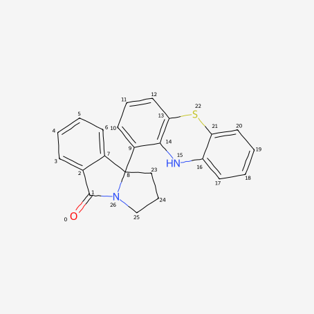 O=C1c2ccccc2C2(c3cccc4c3Nc3ccccc3S4)CCCN12